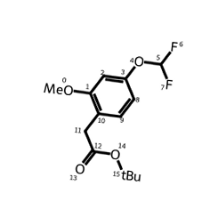 COc1cc(OC(F)F)ccc1CC(=O)OC(C)(C)C